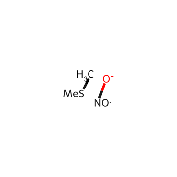 CSC.O=[N+][O-]